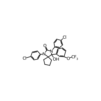 O=C1N(c2ccc(Cl)cc2)C2(CCCC2)C(O)(c2cccc(OC(F)(F)F)c2)N1c1ccc(Cl)cc1